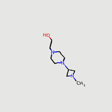 CN1CC(N2CCN(CCO)CC2)C1